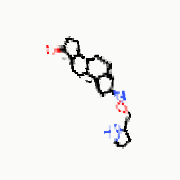 C[C@]12CCC(=NOCC3CCCN3)C=C1CCC1C2CC[C@]2(C)C(=O)CCC12